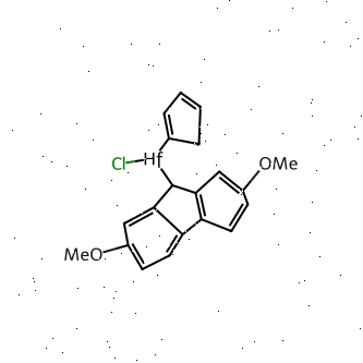 COc1ccc2c(c1)[CH]([Hf]([Cl])[C]1=CC=CC1)c1cc(OC)ccc1-2